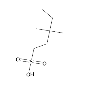 CCC(C)(C)CCS(=O)(=O)O